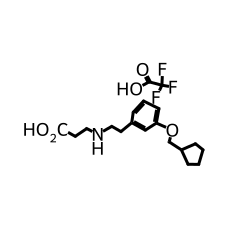 O=C(O)C(F)(F)F.O=C(O)CCNCCc1cccc(OCC2CCCC2)c1